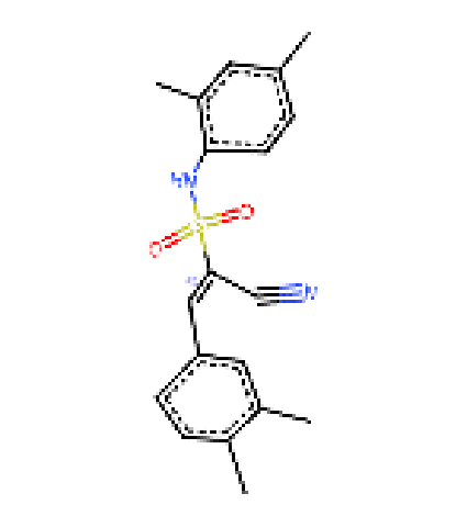 Cc1ccc(NS(=O)(=O)/C(C#N)=C/c2ccc(C)c(C)c2)c(C)c1